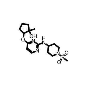 CC1(O)CCCC1Oc1ccnc(NC2CCN(S(C)(=O)=O)CC2)n1